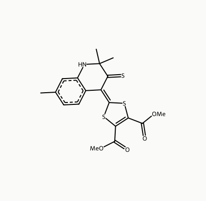 COC(=O)C1=C(C(=O)OC)SC(=C2C(=S)C(C)(C)Nc3cc(C)ccc32)S1